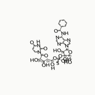 O=C(Nc1ncnc2c1ncn2[C@@H]1O[C@H](CO)[C@@](O)(OP(O)(=S)O[C@H](O)[C@H]2O[C@@H](n3ccc(=O)[nH]c3=O)[C@H](O)[C@@H]2O)[C@H]1O)c1ccccc1